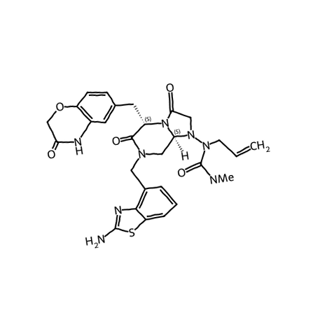 C=CCN(C(=O)NC)N1CC(=O)N2[C@@H](Cc3ccc4c(c3)NC(=O)CO4)C(=O)N(Cc3cccc4sc(N)nc34)C[C@@H]21